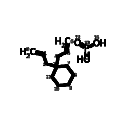 C=CCC1(CC=C)CCCCC1.O=[PH](O)O